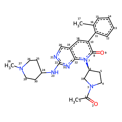 CC(=O)N1CC[C@H](n2c(=O)c(-c3ccccc3C)cc3cnc(NC4CCN(C)CC4)nc32)C1